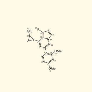 COc1ncc(-c2cc(C3CC3C(F)(F)F)c3c(F)ccn3n2)c(OC)n1